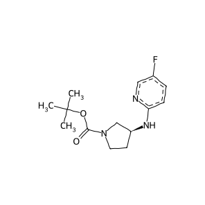 CC(C)(C)OC(=O)N1CC[C@H](Nc2ccc(F)cn2)C1